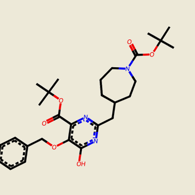 CC(C)(C)OC(=O)c1nc(CC2CCCN(C(=O)OC(C)(C)C)CC2)nc(O)c1OCc1ccccc1